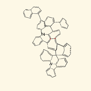 c1ccc(-c2ccccc2-c2ccccc2N(c2ccc(-c3cccc4ccccc34)cc2)c2ccccc2-c2ccc3c(c2)C2(c4ccccc4-3)c3ccccc3-n3c4ccccc4c4cccc2c43)cc1